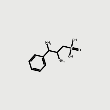 NC(CP(=O)(O)O)C(N)c1ccccc1